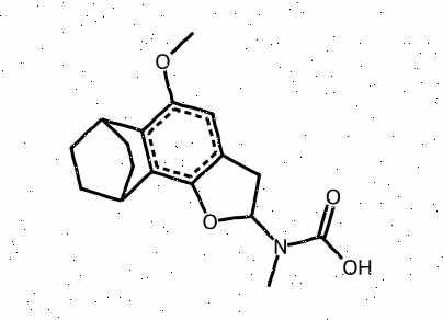 COc1cc2c(c3c1C1CCC3CC1)OC(N(C)C(=O)O)C2